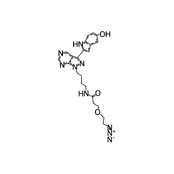 [N-]=[N+]=NCCOCCC(=O)NCCCCn1nc(-c2cc3cc(O)ccc3[nH]2)c2cncnc21